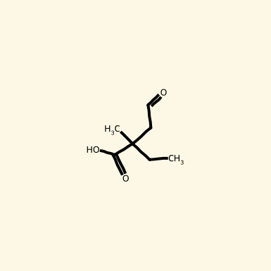 CCC(C)(CC=O)C(=O)O